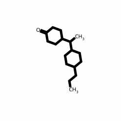 CCCC1CCC(C(C)C2CCC(=O)CC2)CC1